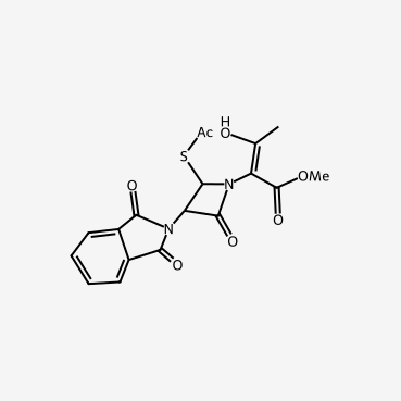 COC(=O)C(=C(C)O)N1C(=O)C(N2C(=O)c3ccccc3C2=O)C1SC(C)=O